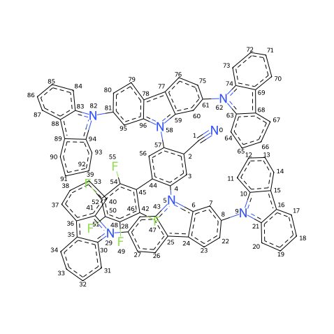 N#Cc1cc(-n2c3cc(-n4c5ccccc5c5ccccc54)ccc3c3ccc(-n4c5ccccc5c5ccccc54)cc32)c(-c2c(F)c(F)c(F)c(F)c2F)cc1-n1c2cc(-n3c4ccccc4c4ccccc43)ccc2c2ccc(-n3c4ccccc4c4ccccc43)cc21